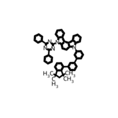 CC1(C)CC(C)(C)c2c(-c3cccc(-c4cccc(-n5c6ccccc6c6c7c8ccccc8n(-c8nc(-c9ccccc9)nc(-c9ccccc9)n8)c7ccc65)c4)c3)cccc21